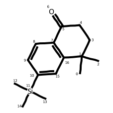 CC1(C)CCC(=O)c2ccc([Si](C)(C)C)cc21